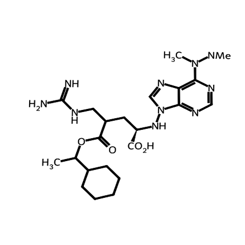 CNN(C)c1ncnc2c1ncn2N[C@H](CC(CNC(=N)N)C(=O)OC(C)C1CCCCC1)C(=O)O